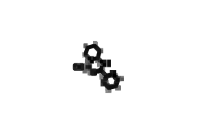 O=C(NC1CCCCN1C(=O)O)c1ncccn1